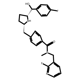 CN(Cc1cccnc1F)C(=O)c1ccc(C[C@@H]2CC[C@H](C(O)c3ccc(F)cc3)N2)cc1